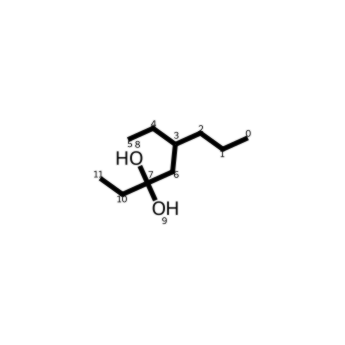 CCCC(CC)CC(O)(O)CC